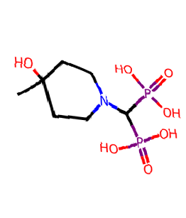 CC1(O)CCN(C(P(=O)(O)O)P(=O)(O)O)CC1